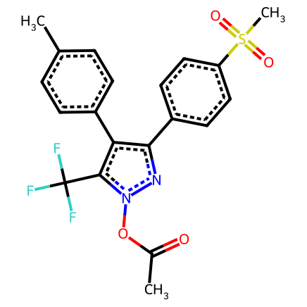 CC(=O)On1nc(-c2ccc(S(C)(=O)=O)cc2)c(-c2ccc(C)cc2)c1C(F)(F)F